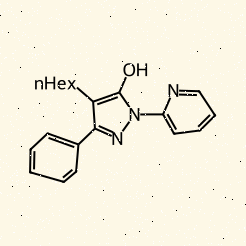 CCCCCCc1c(-c2ccccc2)nn(-c2ccccn2)c1O